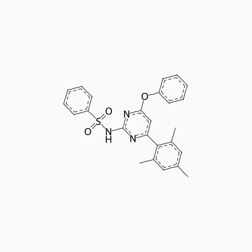 Cc1cc(C)c(-c2cc(Oc3ccccc3)nc(NS(=O)(=O)c3ccccc3)n2)c(C)c1